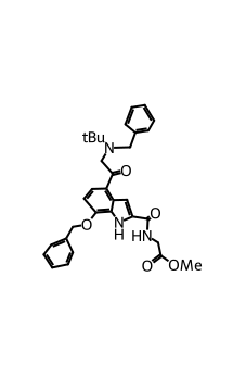 COC(=O)CNC(=O)c1cc2c(C(=O)CN(Cc3ccccc3)C(C)(C)C)ccc(OCc3ccccc3)c2[nH]1